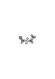 c1ccc(/C(=C(/c2ccccc2)c2ccc(N(c3ccccc3)c3cc4c5c(c3)CCCN5CCC4)cc2)c2ccc(N(c3ccccc3)c3ccc(N(c4ccccc4)c4ccccc4)cc3)cc2)cc1